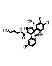 CC(C)(C)C[C@H]1N[C@@H](C(=O)NCCCO)[C@H](c2cccc(Cl)c2)[C@@]12C(=O)Nc1cc(Cl)c(F)cc12